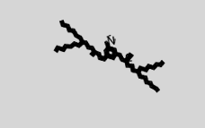 C=C=C(CCCC(CCCCCCC)CCCCCCC)CCc1cc(/C=C\CC(=C)CCCC(CCCCCCC)CCCCCCC)cc(CN(C)C)c1